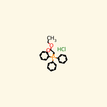 CCOC(=O)C=P(c1ccccc1)(c1ccccc1)c1ccccc1.Cl